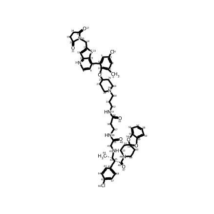 Cc1cc(Cl)cc(-c2ccnc3cc(CN4C(=O)CCC4=O)sc23)c1OC1CCN(CCCNC(=O)CCNC(=O)CN[C@@H](C)[C@H](C(=O)N2CCC3(CC2)Oc2ccccc2O3)c2ccc(Cl)cc2)CC1